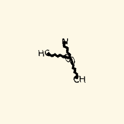 C#CCCCCCCOC(CCCCC#N)OCCCCCCC#C